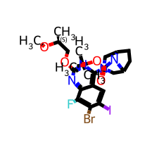 CO[C@@H](C)COc1nc(N2CC3CCC(C2)N3C(=O)OC(C)(C)C)c2cc(I)c(Br)c(F)c2n1